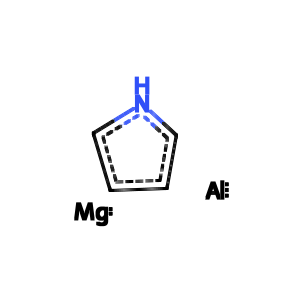 [Al].[Mg].c1cc[nH]c1